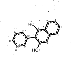 Oc1cc2ccccc2c(O)c1-c1cccnc1